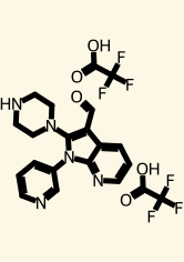 O=C(O)C(F)(F)F.O=C(O)C(F)(F)F.O=Cc1c(N2CCNCC2)n(-c2cccnc2)c2ncccc12